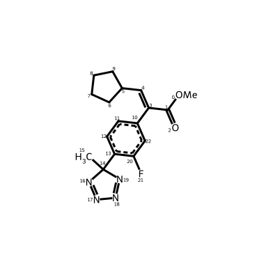 COC(=O)/C(=C/C1CCCC1)c1ccc(C2(C)N=NN=N2)c(F)c1